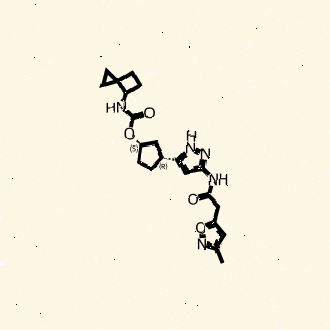 Cc1cc(CC(=O)Nc2cc([C@@H]3CC[C@H](OC(=O)NC4CCC45CC5)C3)[nH]n2)on1